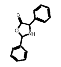 O=C1OC(c2ccccc2)NC1c1ccccc1